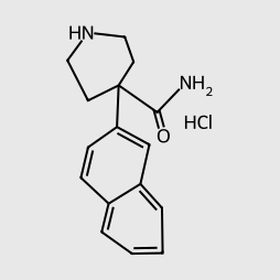 Cl.NC(=O)C1(c2ccc3ccccc3c2)CCNCC1